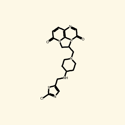 O=c1ccc2ncc(=O)n3c2n1CC3CN1CCC(NCc2cnc(Cl)s2)CC1